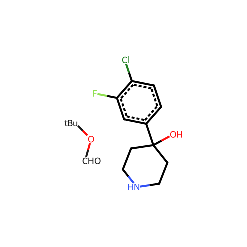 CC(C)(C)OC=O.OC1(c2ccc(Cl)c(F)c2)CCNCC1